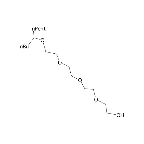 CCCCCC(CCCC)OCCOCCOCCOCCO